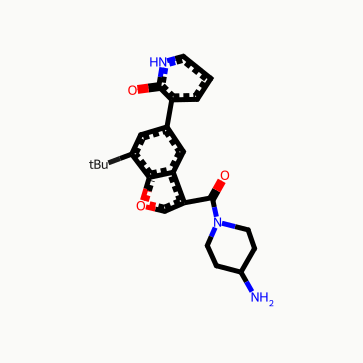 CC(C)(C)c1cc(-c2ccc[nH]c2=O)cc2c(C(=O)N3CCC(N)CC3)coc12